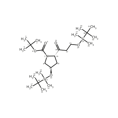 CC(C)(C)OC(=O)N1C[C@H](O[Si](C)(C)C(C)(C)C)C[C@H]1C(=O)CCO[Si](C)(C)C(C)(C)C